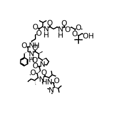 CC[C@@H](C)[C@H]([C@H](CC(=O)N1CCC[C@@H]1[C@@H](OC)[C@H](C)C(=O)N[C@H](Cc1ccccc1)C(=O)NCCCOC(=O)[C@H](NC(=O)CCNC(=O)OCC(OC)OC(CO)C(C)(C)C)C(C)C)OC)N(C)C(=O)[C@H](NC(=O)[C@@H](C(C)C)N(C)C)C(C)C